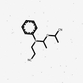 CC(C#N)OC(C)N(CCC#N)c1ccccc1